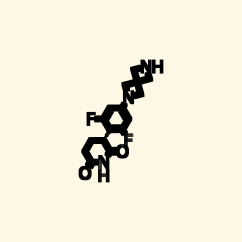 O=C1CC[C@H](c2c(F)cc(N3CC4(CNC4)C3)cc2F)C(=O)N1